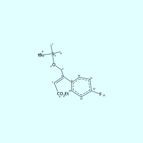 CCOC(=O)/C=C(/CO[Si](C)(C)C(C)(C)C)c1ccc(F)cc1